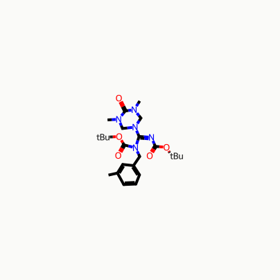 Cc1cccc(CN(C(=O)OC(C)(C)C)/C(=N\C(=O)OC(C)(C)C)N2CN(C)C(=O)N(C)C2)c1